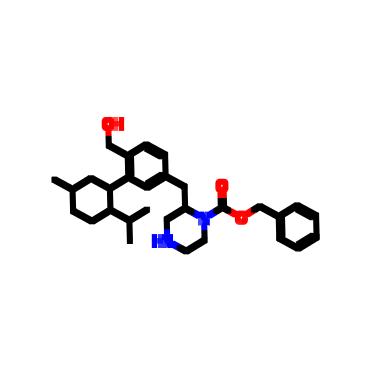 CC1CCC(C(C)C)C(c2cc(CC3CNCCN3C(=O)OCc3ccccc3)ccc2CO)C1